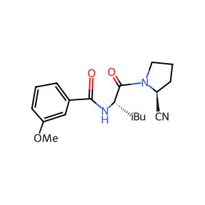 CCC(C)[C@H](NC(=O)c1cccc(OC)c1)C(=O)N1CCC[C@H]1C#N